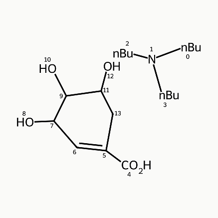 CCCCN(CCCC)CCCC.O=C(O)C1=CC(O)C(O)C(O)C1